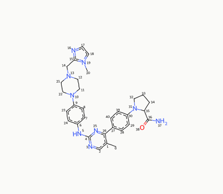 Cc1cnc(Nc2ccc(N3CCN(Cc4nccn4C)CC3)cc2)nc1-c1ccc(N2CCCC2C(N)=O)cc1